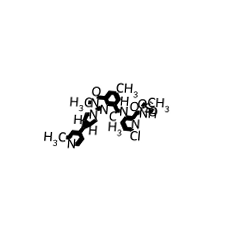 Cc1cc([C@@H](C)Nc2ccc(Cl)nc2C(=O)NS(C)(=O)=O)c2nc(N3C[C@@H]4C(c5ccnc(C)c5)[C@@H]4C3)n(C)c(=O)c2c1